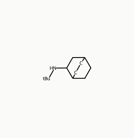 CC(C)(C)NC1CC2CCC1CC2